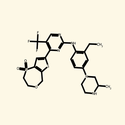 CCc1cc(N2CCNC(C)C2)ccc1Nc1ncc(C(F)(F)F)c(-c2cc3c(s2)COCCS3(=O)=O)n1